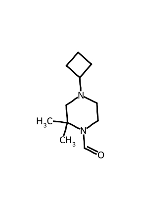 CC1(C)CN(C2CCC2)CCN1C=O